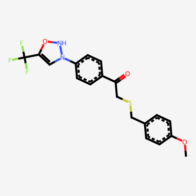 COc1ccc(CSCC(=O)c2ccc(N3C=C(C(F)(F)F)ON3)cc2)cc1